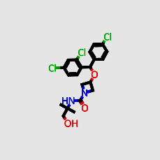 CC(C)(CO)NC(=O)N1CC(OC(c2ccc(Cl)cc2)c2ccc(Cl)cc2Cl)C1